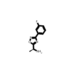 C[C@H](N)c1nc(-c2cccc(F)c2)no1